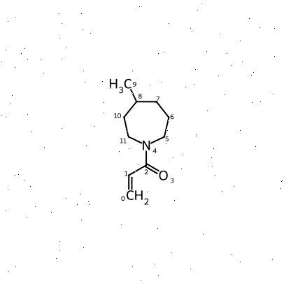 C=CC(=O)N1CCCC(C)CC1